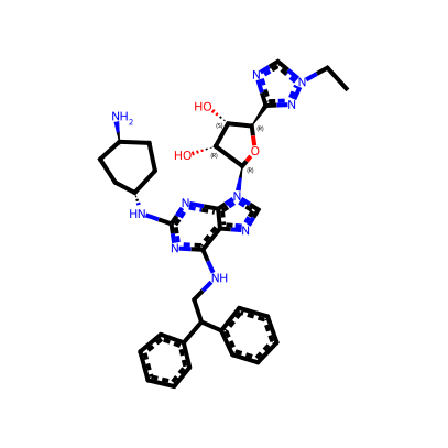 CCn1cnc([C@H]2O[C@@H](n3cnc4c(NCC(c5ccccc5)c5ccccc5)nc(N[C@H]5CC[C@H](N)CC5)nc43)[C@H](O)[C@@H]2O)n1